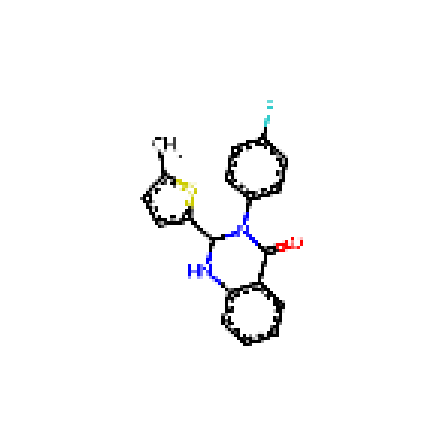 Cc1ccc(C2Nc3ccccc3C(=O)N2c2ccc(F)cc2)s1